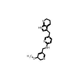 COC1C=C(CNc2ccc(Cc3c[nH]c4c3=CCCN=4)cn2)C=NC1